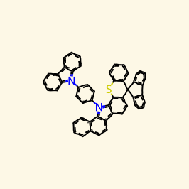 c1ccc2c(c1)Sc1c(ccc3c4ccc5ccccc5c4n(-c4ccc(-n5c6ccccc6c6ccccc65)cc4)c13)C21c2ccccc2-c2ccccc21